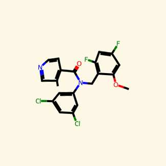 COc1cc(F)cc(F)c1CN(C(=O)c1ccncc1C)c1cc(Cl)cc(Cl)c1